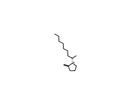 C=C1CCC[C@H]1N(C)CCCCCCC